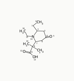 CCC1CC(=O)CC(C(C)(C)C(=O)O)N1CC